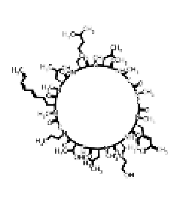 C=C/C=C\C=C\CC[C@H]1C(=O)N(C)[C@@H](CC(C)C)C(=O)N[C@@H](COCCC(C)C)C(=O)N(C)[C@@H](CC(C)C)C(=O)NC(C)CC(=O)N(C)CC(=O)N(C)[C@@H](C/C(C=C)=C/C(=C)Cl)C(=O)N[C@@H](COCCO)C(=O)N(C)[C@@H](CC(C)C)C(=O)NC(C(C)O)C(=O)N(CCC)CC(=O)N1C